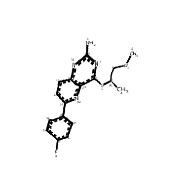 COC[C@@H](C)Oc1nc(N)nc2ccc(-c3ccc(F)cc3)nc12